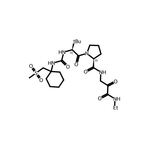 CCNC(=O)C(=O)CNC(=O)[C@@H]1CCCN1C(=O)[C@@H](NC(=O)NC1(CS(C)(=O)=O)CCCCC1)C(C)(C)C